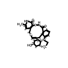 CCN(c1cccc2c1CC=CCCc1cc(C)[nH]c(=O)c1CNC2=O)[C@H]1CC[C@@H](O)CC1